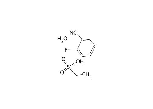 CCS(=O)(=O)O.N#Cc1ccccc1F.O